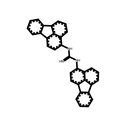 N=C(Nc1ccc2c3c(cccc13)-c1ccccc1-2)Nc1ccc2c3c(cccc13)-c1ccccc1-2